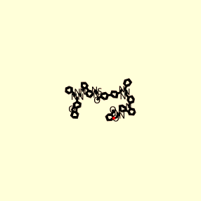 O=c1c2ccccc2oc2nc3c4c5ccccc5n(-c5cccc(-c6nc(-c7ccccc7)nc(-c7ccc(-c8ccc9c(=O)n%10c(nc%11c%12c%13ccccc%13n(-c%13nc(-c%14ccccc%14)nc(-c%14ccc%15c(c%14)oc%14ccccc%14%15)n%13)c%12ccc%11%10)sc9c8)cc7)n6)c5)c4ccc3n12